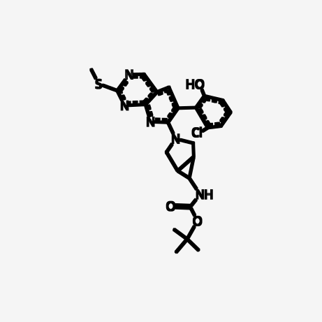 CSc1ncc2cc(-c3c(O)cccc3Cl)c(N3CC4C(C3)C4NC(=O)OC(C)(C)C)nc2n1